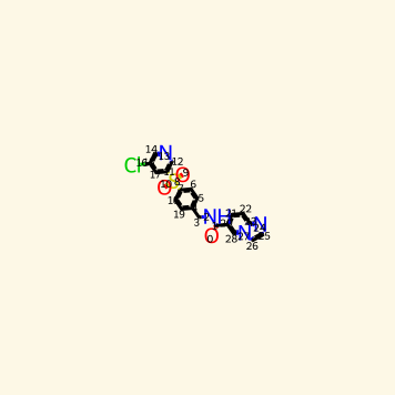 O=C(NCc1ccc(S(=O)(=O)c2cncc(Cl)c2)cc1)c1ccc2nccn2c1